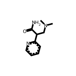 CN(C)CC(C(N)=O)c1ccccn1